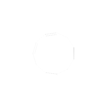 [C]1=C\CCCCCCC\C=C/1